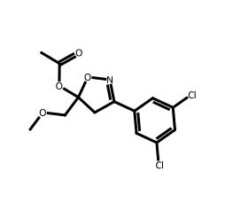 COCC1(OC(C)=O)CC(c2cc(Cl)cc(Cl)c2)=NO1